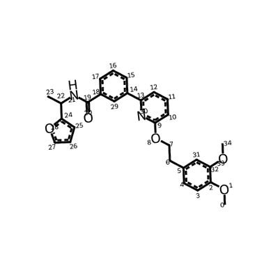 COc1ccc(CCOc2cccc(-c3cccc(C(=O)NC(C)c4ccco4)c3)n2)cc1OC